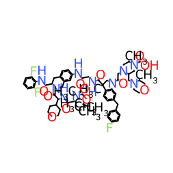 CC1COCCN1CC1CN(C(=O)O)C(C)CN1CC(=O)N1CC(C)(C(=O)NCC(=O)Nc2ccc3c(c2)CN(C(=O)C(NC(=O)C(C)N(C)C(=O)OC(C)(C)C)C2CCOCC2)C(C(=O)Nc2c(F)cccc2F)C3)c2ccc(Cc3ccc(F)cc3)cc21